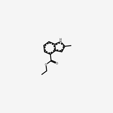 CCOC(=O)c1cccc2[nH]c(C)cc12